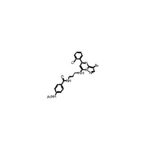 CC(=O)Nc1ccc(C(=O)NCCCNc2cc(-c3ccccc3Cl)nc3c(Br)cnn23)cc1